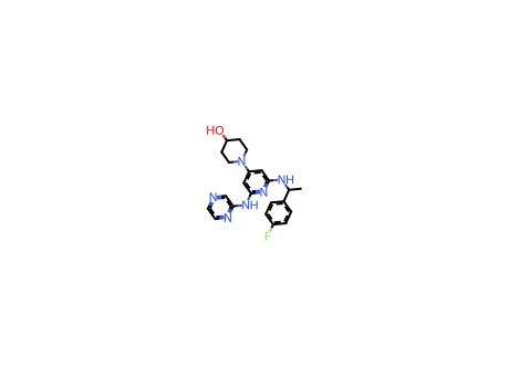 CC(Nc1cc(N2CCC(O)CC2)cc(Nc2cnccn2)n1)c1ccc(F)cc1